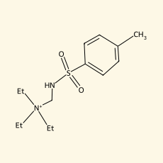 CC[N+](CC)(CC)CNS(=O)(=O)c1ccc(C)cc1